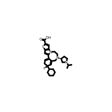 CC(C)N1CC[C@H](N2CCn3c(cc4sc(C(=O)O)cc43)C3=CCC(F)(C4CCCCC4)C=C3C2)C1